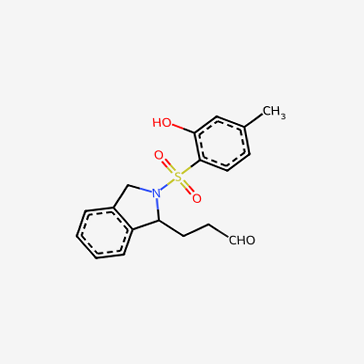 Cc1ccc(S(=O)(=O)N2Cc3ccccc3C2CCC=O)c(O)c1